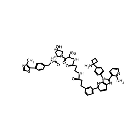 Cc1ncsc1-c1ccc(CNC(=O)[C@@H]2C[C@@H](O)CN2C(=O)C(NC(=O)CCNC(=O)CCc2cccc(-c3ccc4nc(-c5cccnc5N)n(-c5ccc(C6(N)CCC6)cc5)c4n3)c2)C(C)(C)C)cc1